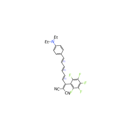 CCN(CC)c1ccc(/C=C/C=C/C=C/C(=C(C#N)C#N)c2c(F)c(F)c(F)c(F)c2F)cc1